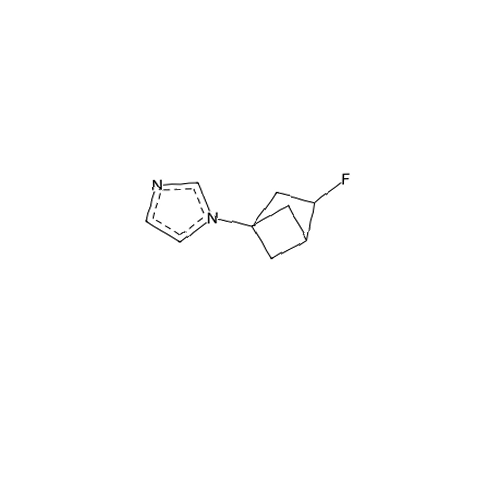 FC1CC2(n3ccnc3)CC1C2